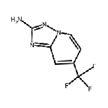 Nc1nc2cc(C(F)(F)F)ccn2n1